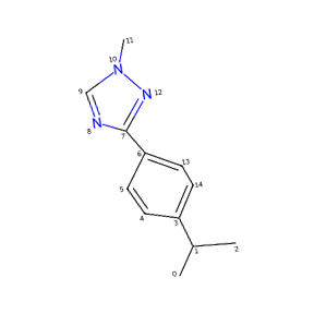 CC(C)c1ccc(-c2ncn(C)n2)cc1